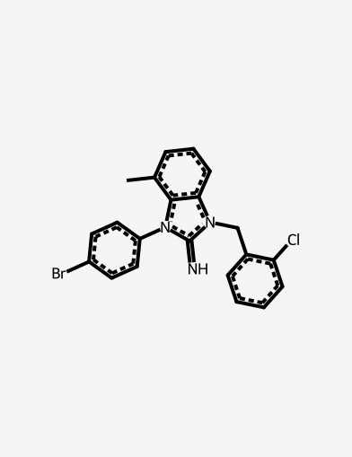 Cc1cccc2c1n(-c1ccc(Br)cc1)c(=N)n2Cc1ccccc1Cl